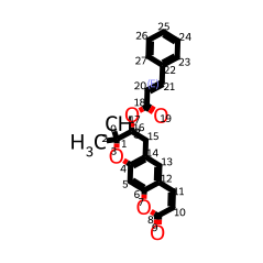 CC1(C)Oc2cc3oc(=O)ccc3cc2CC1OC(=O)/C=C/c1ccccc1